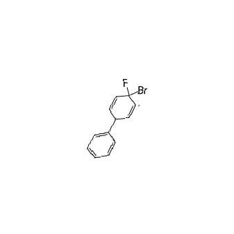 FC1(Br)[C]=CC(c2ccccc2)C=C1